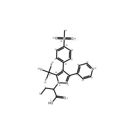 CCC(C(=O)O)n1nc(-c2ccncc2)c(-c2ccc(S(C)(=O)=O)cc2)c1C(F)(F)F